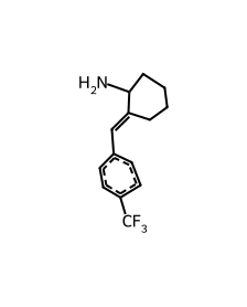 NC1CCCCC1=Cc1ccc(C(F)(F)F)cc1